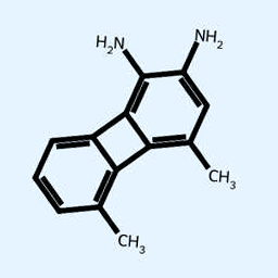 Cc1cccc2c1-c1c(C)cc(N)c(N)c1-2